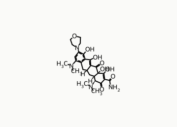 CN(C)c1cc(N2CCOCC2)c(O)c2c1C[C@H]1C[C@H]3[C@H](N(C)C)C(=O)C(C(N)=O)=C(O)[C@@]3(O)C(=O)C1=C2O